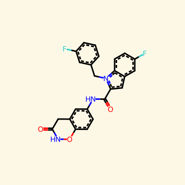 O=C1Cc2cc(NC(=O)c3cc4cc(F)ccc4n3Cc3cccc(F)c3)ccc2ON1